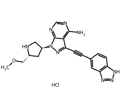 COC[C@H]1C[C@H](n2nc(C#Cc3ccc4[nH]nnc4c3)c3c(N)ncnc32)CN1.Cl